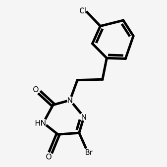 O=c1[nH]c(=O)n(CCc2cccc(Cl)c2)nc1Br